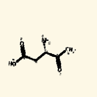 [CH2]C(=O)[C@@H](N)CC(=O)O